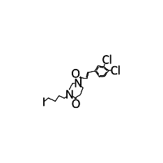 O=C(C=Cc1ccc(Cl)c(Cl)c1)N1CCC(=O)N(CCCCI)CC1